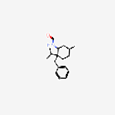 CC1CCC(Cc2ccccc2)(C(C)C)C(NC=O)C1